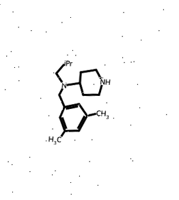 Cc1cc(C)cc(CN(CC(C)C)C2CCNCC2)c1